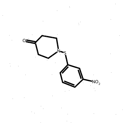 O=C1CCN(Sc2cccc([N+](=O)[O-])c2)CC1